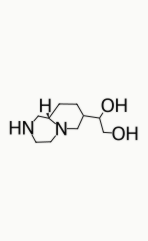 OCC(O)C1CC[C@H]2CNCCN2C1